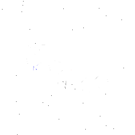 N#Cc1cc(-c2cc(C(=O)O)ccn2)ccc1OCc1ccc2ccccc2c1